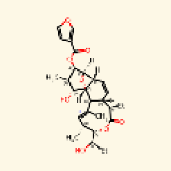 CC[C@@H](O)[C@H]1OC(=O)[C@H](CC)[C@H]2C=C[C@H]3[C@H]4O[C@]2(/C(C)=C/[C@H]1C)[C@@H]3[C@H](O)[C@@H](C)[C@H]4OC(=O)c1ccoc1